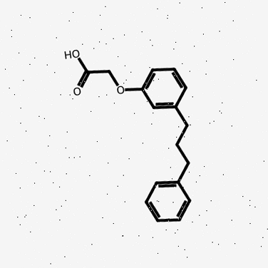 O=C(O)COc1cccc([CH]CCc2ccccc2)c1